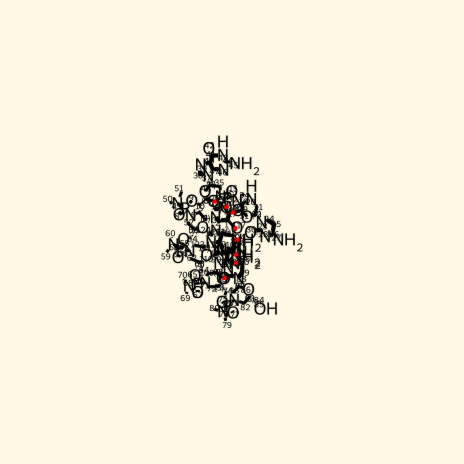 Cc1cn([C@H]2CN(P(=O)(OC[C@@H]3CN(P(=O)(OCC4CNC[C@H](n5ccc(N)nc5=O)O4)N(C)C)C[C@H](n4cnc5c(=O)[nH]c(N)nc54)O3)N(C)C)C[C@@H](COP(=O)(N(C)C)N3C[C@@H](COP(=O)(N(C)C)N4C[C@@H](COP(=O)(N(C)C)N5C[C@@H](CO)O[C@@H](n6ccc(N)nc6=O)C5)O[C@@H](n5cnc6c(N)ncnc65)C4)O[C@@H](n4cnc5c(=O)[nH]c(N)nc54)C3)O2)c(=O)[nH]c1=O